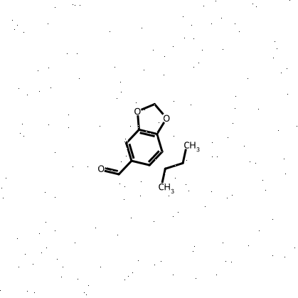 CCCC.O=Cc1ccc2c(c1)OCO2